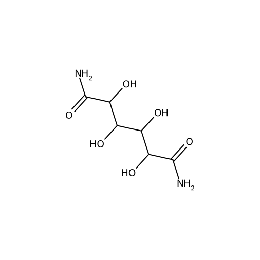 NC(=O)C(O)C(O)C(O)C(O)C(N)=O